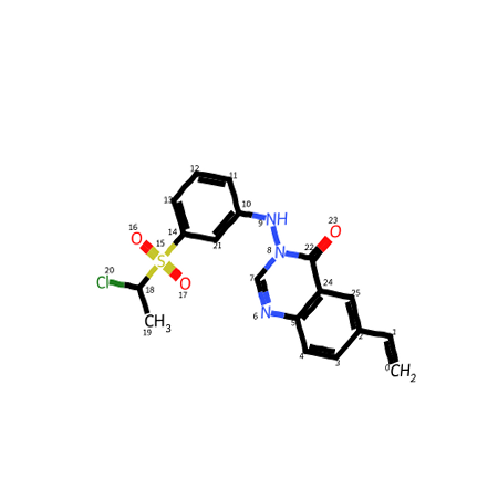 C=Cc1ccc2ncn(Nc3cccc(S(=O)(=O)C(C)Cl)c3)c(=O)c2c1